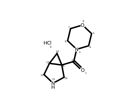 Cl.O=C(N1CCOCC1)C12CNCC1C2